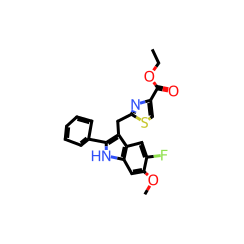 CCOC(=O)c1csc(Cc2c(-c3ccccc3)[nH]c3cc(OC)c(F)cc23)n1